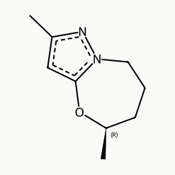 Cc1cc2n(n1)CCC[C@@H](C)O2